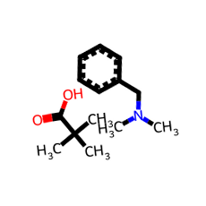 CC(C)(C)C(=O)O.CN(C)Cc1ccccc1